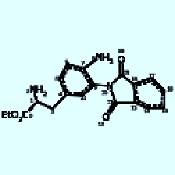 CCOC(=O)[C@@H](N)Cc1ccc(N)c(N2C(=O)c3ccccc3C2=O)c1